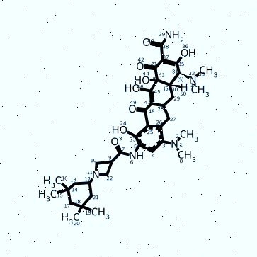 CN(C)c1cc(NC(=O)C2CN(C3CC(C)(C)CC(C)(C)C3)C2)c(O)c2c1CC1C[C@H]3[C@H](N(C)C)C(O)=C(C(N)=O)C(=O)[C@@]3(O)C(O)=C1C2=O